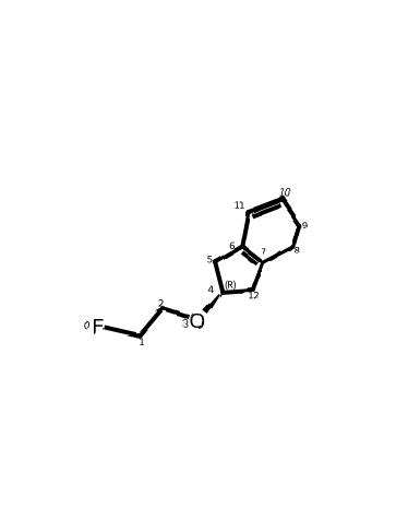 FCCO[C@H]1CC2=C(CCC=C2)C1